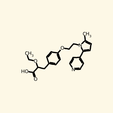 CCOC(Cc1ccc(OCCn2c(C)ccc2-c2ccncc2)cc1)C(=O)O